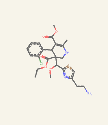 CCOC(=O)C1(C(OC)c2nc(CCN)cs2)CNC(C)=C(C(=O)OC)C1c1ccccc1Cl